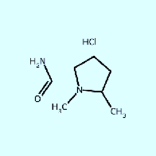 CC1CCCN1C.Cl.NC=O